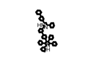 C1=C(c2ccccc2)N=C(c2cccc(-c3ccc(C4=C(c5ccccc5)C(c5ccccc5)NC(c5ccccc5)=C4c4ccccc4)cc3)c2)NC1c1ccc(-c2ccccc2)cc1